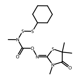 CN(SSC1CCCCC1)C(=O)ON=C1SC(C)(C)C(=O)N1C